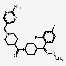 CO/N=C(\c1ccc(F)cc1F)C1CCN(C(=O)C2CCN(Cc3cnc(N)nc3)CC2)CC1